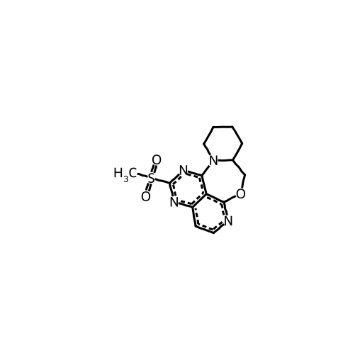 CS(=O)(=O)c1nc2c3c(nccc3n1)OCC1CCCCN21